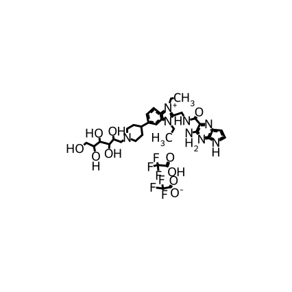 CCn1c(CNC(=O)c2nc3cc[nH]c3nc2N)[n+](CC)c2ccc(C3CCN(CC(O)C(O)C(O)C(O)CO)CC3)cc21.O=C(O)C(F)(F)F.O=C([O-])C(F)(F)F